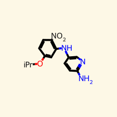 CC(C)Oc1ccc([N+](=O)[O-])c(Nc2ccc(N)nc2)c1